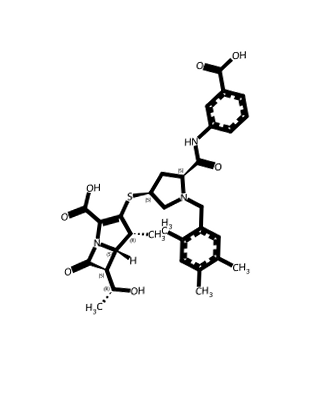 Cc1cc(C)c(CN2C[C@@H](SC3=C(C(=O)O)N4C(=O)[C@H]([C@@H](C)O)[C@H]4[C@H]3C)C[C@H]2C(=O)Nc2cccc(C(=O)O)c2)cc1C